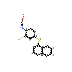 O=C=Nc1ccc(Sc2cccc3ccccc23)cc1F